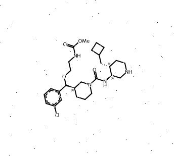 COC(=O)NCCOC(c1cccc(Cl)c1)[C@@H]1CCCN(C(=O)N[C@@H]2CNCC[C@H]2CC2CCC2)C1